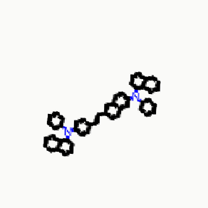 C(=C\c1ccc2cc(N(c3ccccc3)c3cccc4ccccc34)ccc2c1)/c1ccc(N(c2ccccc2)c2cccc3ccccc23)cc1